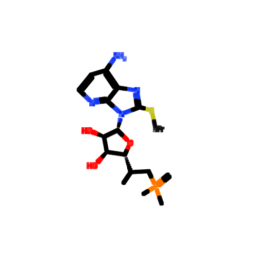 C=P(C)(C)CC(C)[C@H]1O[C@@H](n2c(SCCC)nc3c(N)ccnc32)[C@H](O)[C@@H]1O